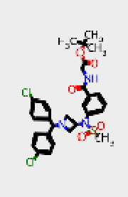 CC(C)(C)OC(=O)CNC(=O)c1cccc(N(C2CN(C(c3ccc(Cl)cc3)c3ccc(Cl)cc3)C2)S(C)(=O)=O)c1